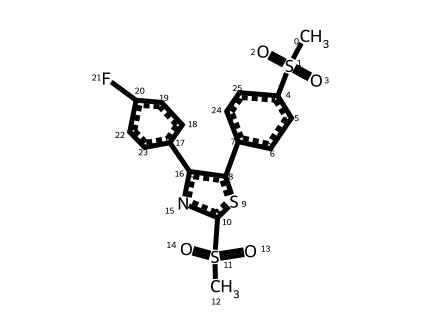 CS(=O)(=O)c1ccc(-c2sc(S(C)(=O)=O)nc2-c2ccc(F)cc2)cc1